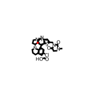 CN1CCC(=O)N(Cc2cc3nccc(-c4cc(Cl)cc5c4N([C@H]4CCNC4)CCC5)c3s2)C1=O.O=CO